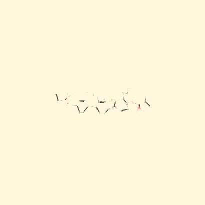 C=C(C)C(=O)Oc1ccc(-c2ccc3c(sc4c(C(F)(F)F)c(OC(=O)C(=C)C)ccc43)c2C(F)(F)F)cc1